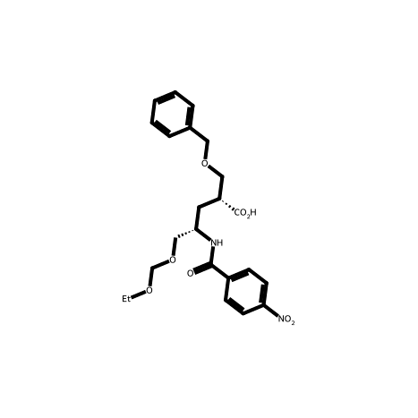 CCOCOC[C@H](C[C@H](COCc1ccccc1)C(=O)O)NC(=O)c1ccc([N+](=O)[O-])cc1